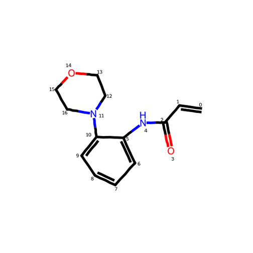 C=CC(=O)Nc1ccccc1N1CCOCC1